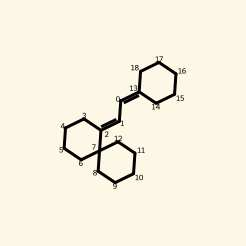 C(C=C1CCCCC12CCCCC2)=C1CCCCC1